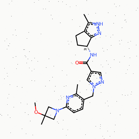 COC1(C)CN(c2ccc(Cn3cc(C(=O)N[C@@H]4CCc5c4n[nH]c5C)cn3)c(C)n2)C1